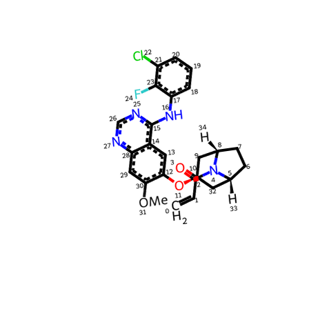 C=CC(=O)N1[C@@H]2CC[C@H]1C[C@H](Oc1cc3c(Nc4cccc(Cl)c4F)ncnc3cc1OC)C2